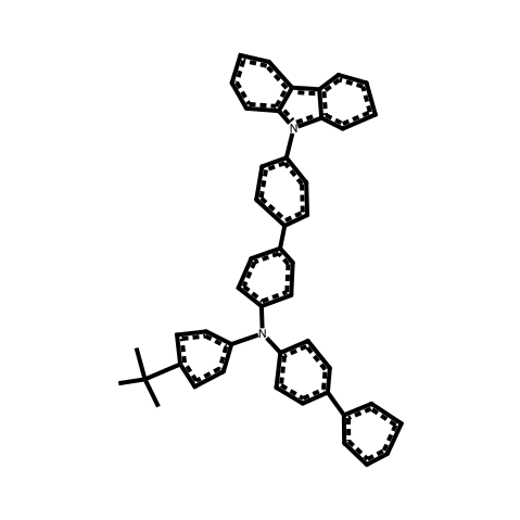 CC(C)(C)c1ccc(N(c2ccc(-c3ccccc3)cc2)c2ccc(-c3ccc(-n4c5ccccc5c5ccccc54)cc3)cc2)cc1